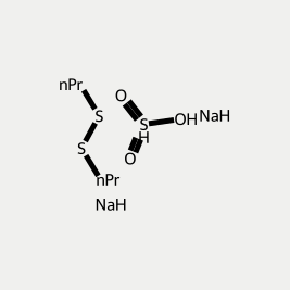 CCCSSCCC.O=[SH](=O)O.[NaH].[NaH]